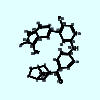 CCN1C2CCC1CN(C(=O)c1ccc(Nc3ncc(F)c(-c4cnc5nn(C)c(C(C)C)c5c4)n3)nc1)C2